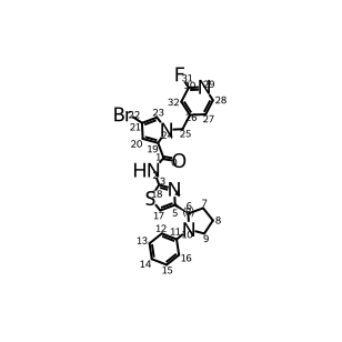 O=C(Nc1nc([C@H]2CCCN2c2ccccc2)cs1)c1cc(Br)cn1Cc1ccnc(F)c1